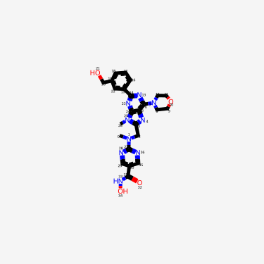 CN(Cc1nc2c(N3CCOCC3)nc(-c3cccc(CO)c3)nc2n1C)c1ncc(C(=O)NO)cn1